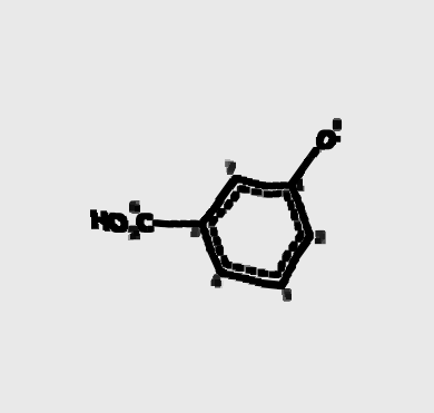 [O]c1cccc(C(=O)O)c1